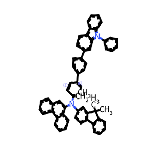 C=C(/C=C\C(=C/C)c1ccc(-c2ccc3c4ccccc4n(-c4ccccc4)c3c2)cc1)N(c1ccc2c(c1)C(C)(C)c1ccccc1-2)c1cc2ccccc2c2ccccc12